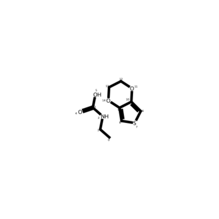 CCNC(=O)O.c1scc2c1OCCO2